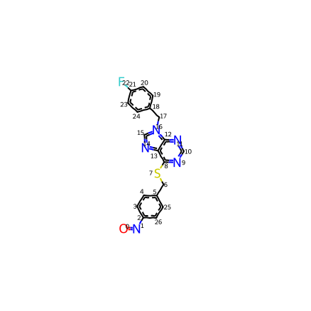 O=Nc1ccc(CSc2ncnc3c2ncn3Cc2ccc(F)cc2)cc1